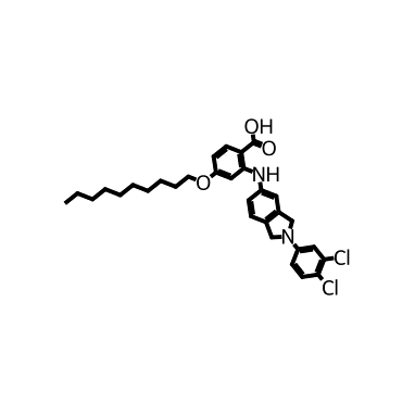 CCCCCCCCCCOc1ccc(C(=O)O)c(Nc2ccc3c(c2)CN(c2ccc(Cl)c(Cl)c2)C3)c1